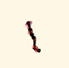 C=C(CC(=O)OC1CCCCC1)C(=O)OCCCCCCOc1ccc(-c2ccc(C(=O)Oc3ccc(OCCCN4C(=O)C=CC4=O)cc3)cc2)cc1